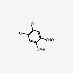 COc1cc(Cl)c(C(C)C)cc1C=O